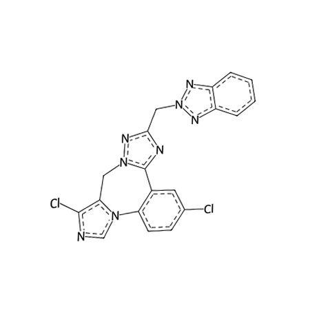 Clc1ccc2c(c1)-c1nc(Cn3nc4ccccc4n3)nn1Cc1c(Cl)ncn1-2